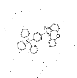 c1ccc([Si](c2ccccc2)(c2ccccc2)c2ccc(-c3nc4cccc5c4n3-c3ccccc3O5)cc2)cc1